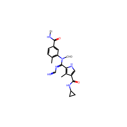 CCNC(=O)c1ccc(C)c(N(C=O)/C(=N/C=N)c2[nH]cc(C(=O)NC3CC3)c2C)c1